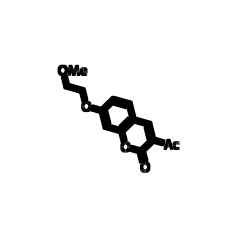 COCCOc1ccc2cc(C(C)=O)c(=O)oc2c1